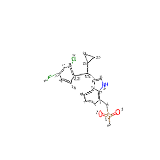 CS(=O)(=O)Cc1cccc2c(C(c3ccc(F)cc3Cl)C3CC3)c[nH]c12